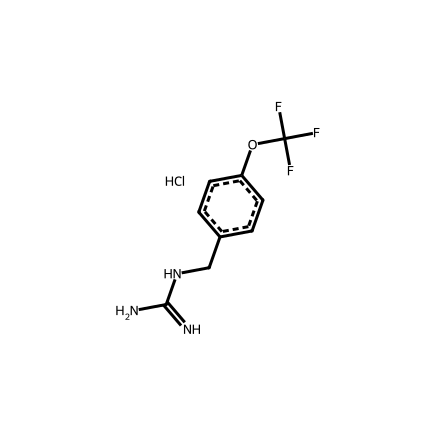 Cl.N=C(N)NCc1ccc(OC(F)(F)F)cc1